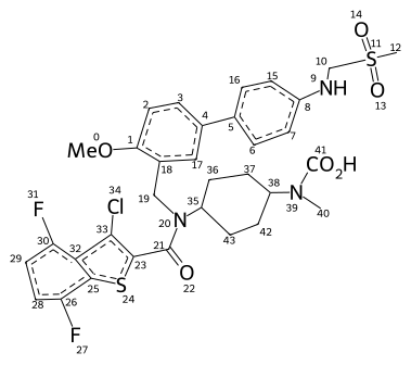 COc1ccc(-c2ccc(NCS(C)(=O)=O)cc2)cc1CN(C(=O)c1sc2c(F)ccc(F)c2c1Cl)C1CCC(N(C)C(=O)O)CC1